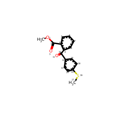 COC(=O)c1ccccc1C(=O)c1ccc(SC)cc1